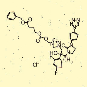 C[C@@H](N1CCN(c2ccc(-n3cnnn3)cc2)C1=O)[C@@](O)(CN1CN(COC(=O)OCCCC(=O)OCc2ccccc2)[C+]=N1)c1ccc(F)cc1F.[Cl-]